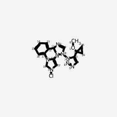 COC1(c2cnnn2N2C=NC3c4ccccc4N4CN(Cl)C=C4N32)CC1